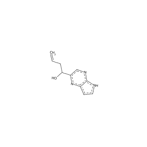 C=CCC(O)c1cnc2[nH]ccc2n1